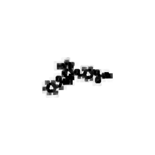 CC(C)(C)C(=O)Oc1ccc(COc2nc(NC(=O)Cc3ccccc3)nc3[nH]cnc23)cc1